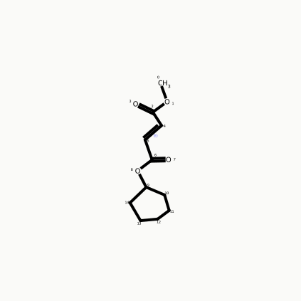 COC(=O)/C=C/C(=O)OC1CCCCC1